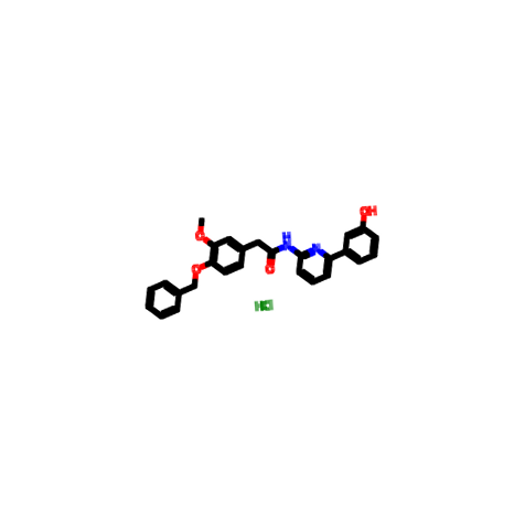 COc1cc(CC(=O)Nc2cccc(-c3cccc(O)c3)n2)ccc1OCc1ccccc1.Cl